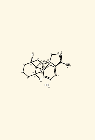 COC1(c2ccnc(C(N)=O)c2)[C@@H]2CCC[C@H]1CN(C1CCCC1)C2.Cl